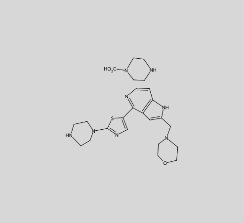 O=C(O)N1CCNCC1.c1cc2[nH]c(CN3CCOCC3)cc2c(-c2cnc(N3CCNCC3)s2)n1